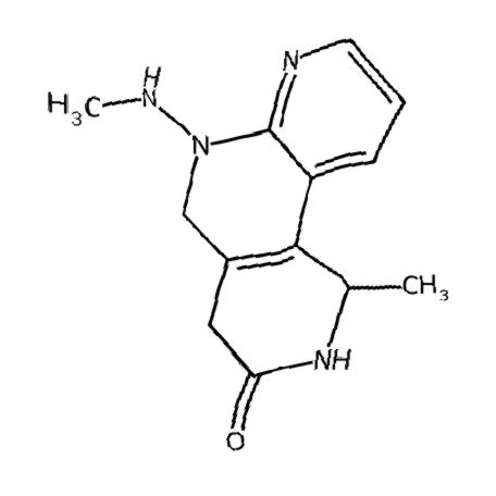 CNN1CC2=C(c3cccnc31)C(C)NC(=O)C2